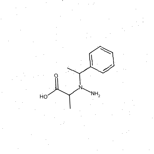 CC(C(=O)O)N(N)C(C)c1ccccc1